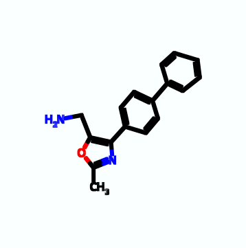 Cc1nc(-c2ccc(-c3ccccc3)cc2)c(CN)o1